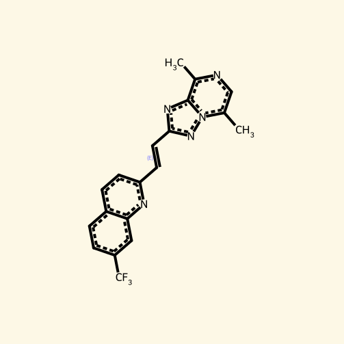 Cc1ncc(C)n2nc(/C=C/c3ccc4ccc(C(F)(F)F)cc4n3)nc12